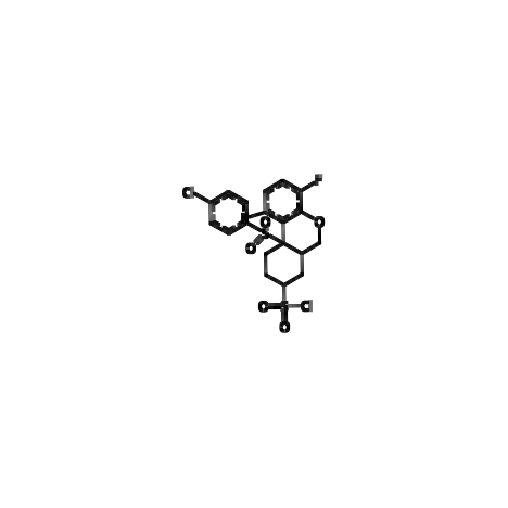 O=S(=O)(Cl)C1CCC2(S(=O)(=O)c3ccc(Cl)cc3)c3c(F)ccc(F)c3OCC2C1